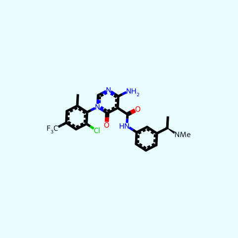 CN[C@H](C)c1cccc(NC(=O)c2c(N)ncn(-c3c(C)cc(C(F)(F)F)cc3Cl)c2=O)c1